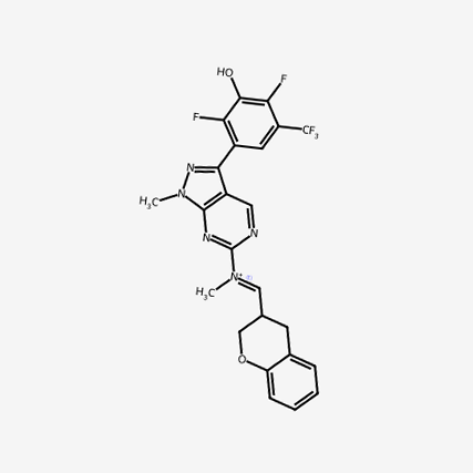 Cn1nc(-c2cc(C(F)(F)F)c(F)c(O)c2F)c2cnc(/[N+](C)=C/C3COc4ccccc4C3)nc21